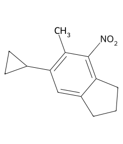 Cc1c(C2CC2)cc2c(c1[N+](=O)[O-])CCC2